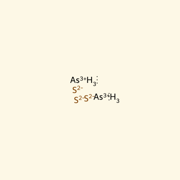 [AsH3+3].[AsH3+3].[S-2].[S-2].[S-2]